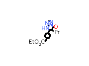 CCOC(=O)Cc1ccc(-c2[nH]c3ncnn3c(=O)c2C(C)C)cc1